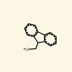 [SiH2]CC1c2ccccc2-c2ccccc21